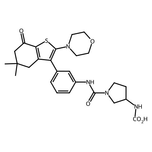 CC1(C)CC(=O)c2sc(N3CCOCC3)c(-c3cccc(NC(=O)N4CCC(NC(=O)O)C4)c3)c2C1